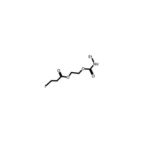 CCNC(=O)OCCOC(=O)CCI